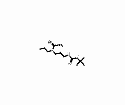 CCCN(CCCNC(=O)OC(C)(C)C)C(=N)N